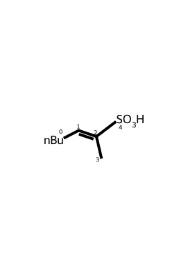 CCCCC=C(C)S(=O)(=O)O